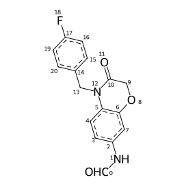 O=CNc1ccc2c(c1)OCC(=O)N2Cc1ccc(F)cc1